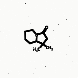 CC1(C)CC(=O)N2CCCCC21